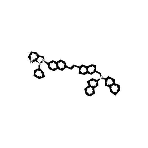 C(=C\c1ccc2cc(N3Cc4cccnc4N3c3ccccc3)ccc2c1)/c1ccc2cc(CN(c3ccc4ccccc4c3)c3ccc4ccccc4c3)ccc2c1